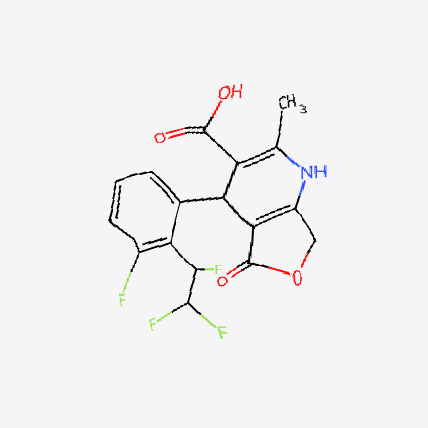 CC1=C(C(=O)O)C(c2cccc(F)c2C(F)C(F)F)C2=C(COC2=O)N1